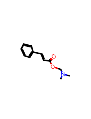 CN(C)COC(=O)/C=C/c1ccccc1